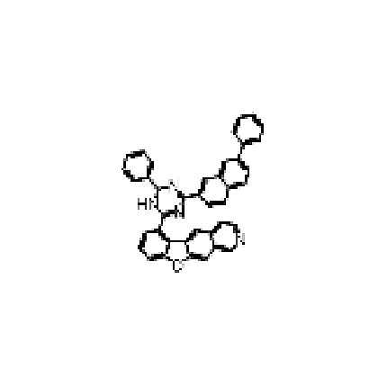 c1ccc(-c2ccc3ccc(C4=NC(c5ccccc5)NC(c5cccc6oc7cc8cnccc8cc7c56)=N4)cc3c2)cc1